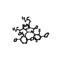 CCn1nc(C(C)C)c2c1C(=O)N(c1cccc(Cl)c1F)C2c1cc(Cl)ccc1C